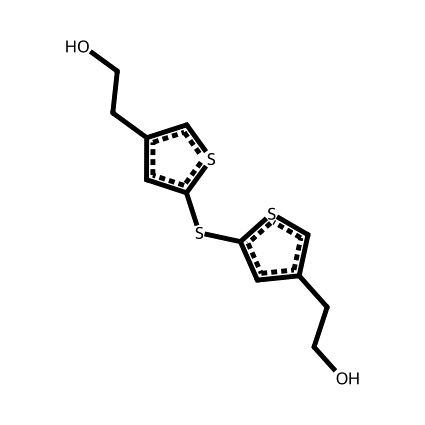 OCCc1csc(Sc2cc(CCO)cs2)c1